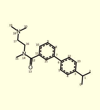 CC(C)c1ccc(-c2cccc(C(=O)N(C)CCN(C)C)c2)cc1